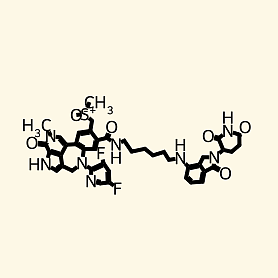 Cn1cc2c3c(c[nH]c3c1=O)CN(c1ncc(F)cc1F)c1cc(C(=O)NCCCCCCNc3cccc4c3CN(C3CCC(=O)NC3=O)C4=O)c(C[S+](C)[O-])cc1-2